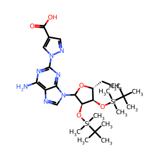 CC[C@H]1OC(n2cnc3c(N)nc(-n4cc(C(=O)O)cn4)nc32)[C@H](O[Si](C)(C)C(C)(C)C)[C@@H]1O[Si](C)(C)C(C)(C)C